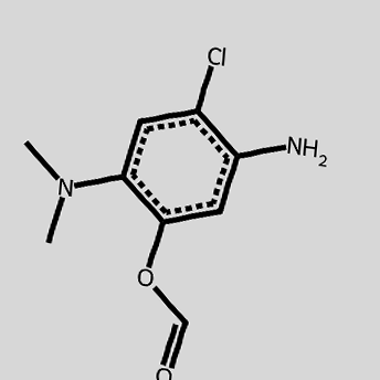 CN(C)c1cc(Cl)c(N)cc1OC=O